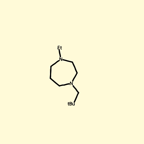 CCN1CCCN(CC(C)(C)C)CC1